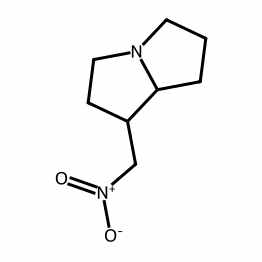 O=[N+]([O-])CC1CCN2CCCC12